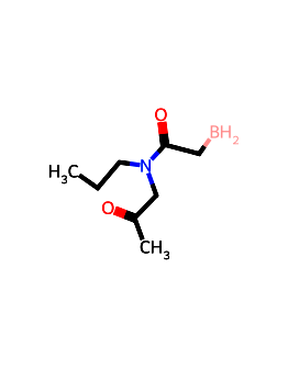 BCC(=O)N(CCC)CC(C)=O